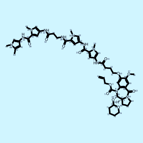 C=CCOC(=O)N1c2cc(OCCCC(=O)Nc3cc(C(=O)Nc4cc(C(=O)NCCC(=O)Nc5cc(C(=O)Nc6cc(C)n(C)c6)n(C)c5)n(C)c4)n(C)c3)c(OC)cc2C(=O)N2CCC[C@H]2[C@@H]1OC1CCCCO1